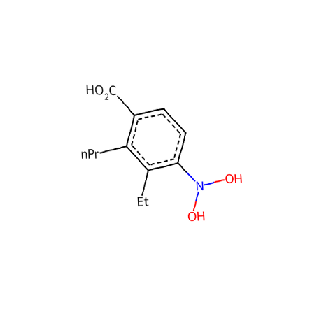 CCCc1c(C(=O)O)ccc(N(O)O)c1CC